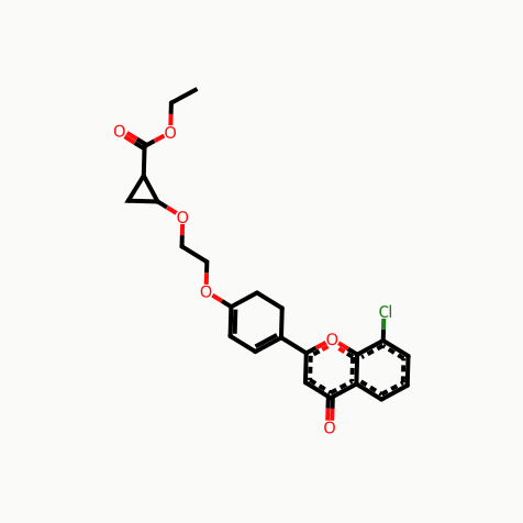 CCOC(=O)C1CC1OCCOC1=CC=C(c2cc(=O)c3cccc(Cl)c3o2)CC1